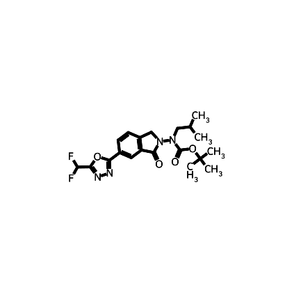 CC(C)CN(C(=O)OC(C)(C)C)N1Cc2ccc(-c3nnc(C(F)F)o3)cc2C1=O